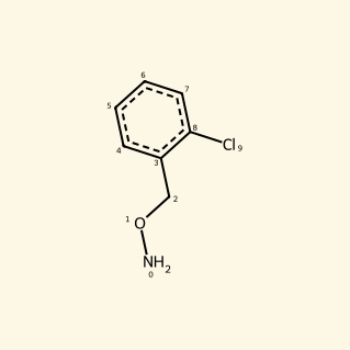 NOCc1ccccc1Cl